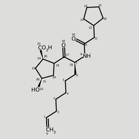 C=CCCCCC[C@H](NC(=O)CC1CCCC1)C(=O)C1C[C@@H](O)C[C@H]1C(=O)O